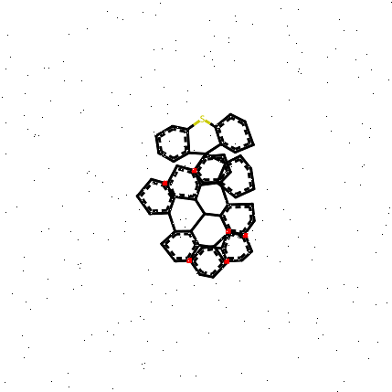 c1ccc(-c2cccc(-c3ccccc3)c2C(c2cccc3c2-c2ccccc2C32c3ccccc3Sc3ccccc32)c2c(-c3ccccc3)cccc2-c2ccccc2)cc1